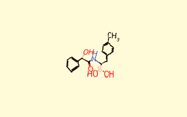 Cc1ccc(C[C@H](NC(=O)[C@@H](O)c2ccccc2)B(O)O)cc1